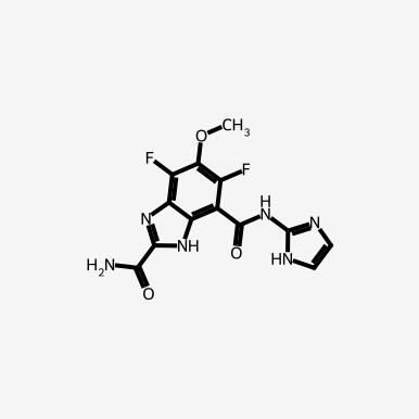 COc1c(F)c(C(=O)Nc2ncc[nH]2)c2[nH]c(C(N)=O)nc2c1F